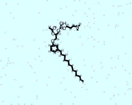 CCCCCCCCCCCCCc1cccc(OCC(COP(O)OCCCN(C)C)OC(C)=O)c1